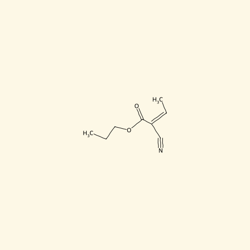 CC=C(C#N)C(=O)OCCC